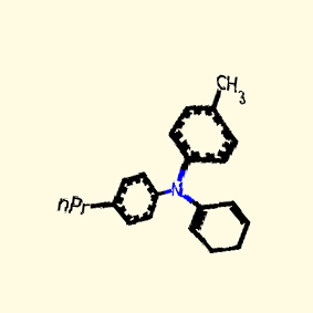 CCCc1ccc(N(C2=CCCC=C2)c2ccc(C)cc2)cc1